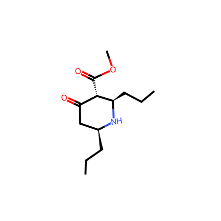 CCC[C@H]1CC(=O)[C@H](C(=O)OC)[C@@H](CCC)N1